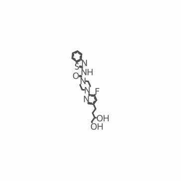 O=C(Nc1nc2ccccc2s1)N1CCN(c2ncc(CCC(O)CO)cc2F)CC1